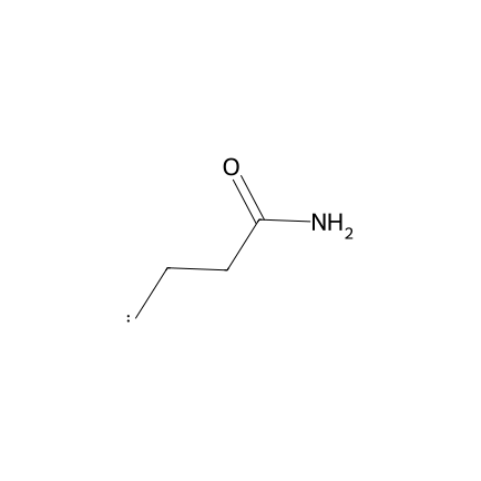 [CH]CCC(N)=O